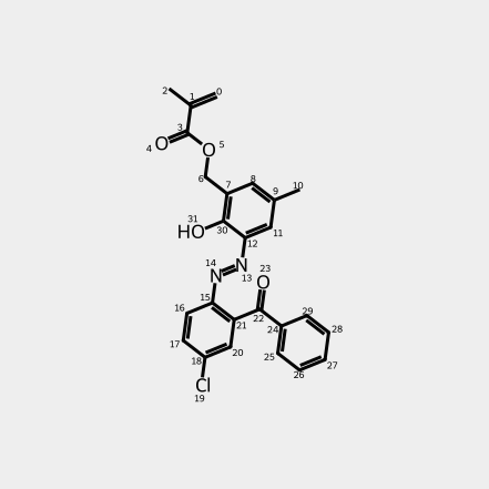 C=C(C)C(=O)OCc1cc(C)cc(N=Nc2ccc(Cl)cc2C(=O)c2ccccc2)c1O